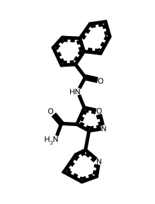 NC(=O)c1c(-c2ccccn2)noc1NC(=O)c1cccc2ccccc12